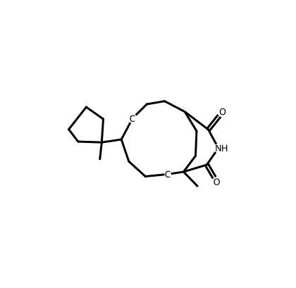 CC12CCCC(C3(C)CCCC3)CCCC(CC1)C(=O)NC2=O